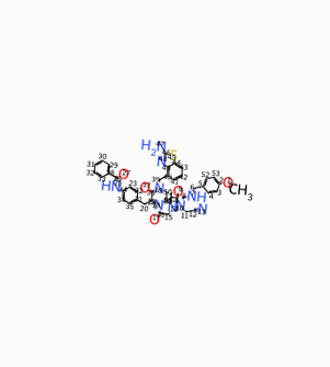 COc1ccc(CNC(=O)N(CC#N)N2CC(=O)N3[C@@H](Cc4ccc(NC(=O)c5ccccc5)cc4)C(=O)N(Cc4cccc5sc(N)nc45)C[C@@H]32)cc1